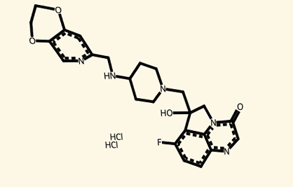 Cl.Cl.O=c1cnc2ccc(F)c3c2n1CC3(O)CN1CCC(NCc2cc3c(cn2)OCCO3)CC1